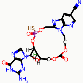 N#Cc1cnc2c(c1)nc1n2CCOC(=O)OC[C@H]2O[C@@H](n3cnc4c(=O)[nH]c(N)nc43)[C@H](OP(=O)(S)OC1)[C@@H]2F